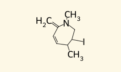 C=C1C=CC(C)C(I)CN1C